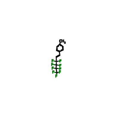 Cc1ccc(C=CC(F)(F)C(F)(F)C(F)(F)C(F)(F)F)cc1